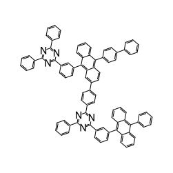 c1ccc(-c2ccc(-c3c4ccccc4c(-c4cccc(-c5nc(-c6ccccc6)nc(-c6ccccc6)n5)c4)c4cc(-c5ccc(-c6nc(-c7ccccc7)nc(-c7cccc(-c8c9ccccc9c(-c9ccccc9)c9ccccc89)c7)n6)cc5)ccc34)cc2)cc1